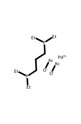 CC(=O)[O-].CC(=O)[O-].CCP(CC)CCCP(CC)CC.[Pd+2]